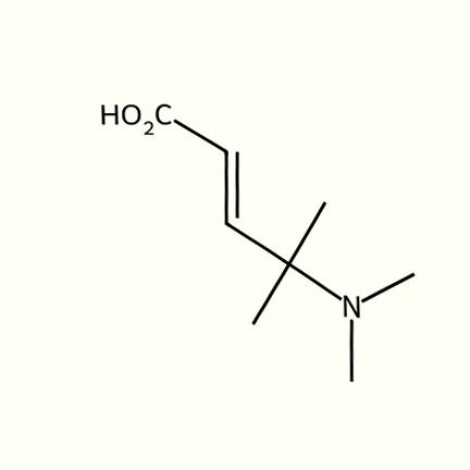 CN(C)C(C)(C)/C=C/C(=O)O